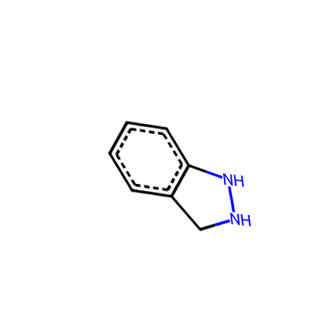 c1ccc2c(c1)CNN2